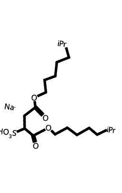 CC(C)CCCCCOC(=O)CC(C(=O)OCCCCCC(C)C)S(=O)(=O)O.[Na]